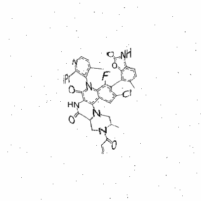 C=CC(=O)N1CC2C(=O)Nc3c(c4cc(Cl)c(-c5c(C)ccc6[nH]c(=O)oc56)c(F)c4n(-c4c(C)ccnc4C(C)C)c3=O)N2CC1C